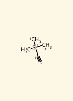 [C]#C[Si](C)(C)C